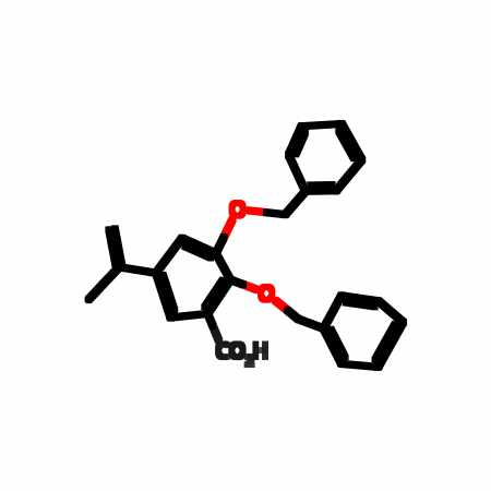 C=C(C)c1cc(OCc2ccccc2)c(OCc2ccccc2)c(C(=O)O)c1